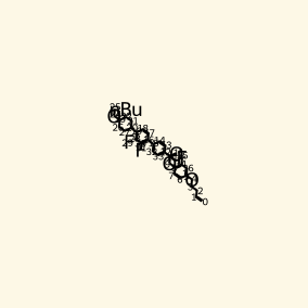 C=CCCOc1ccc(OC(=O)c2ccc(-c3ccc(C4CCC(OCCCC)CC4)c(F)c3F)cc2)c(F)c1